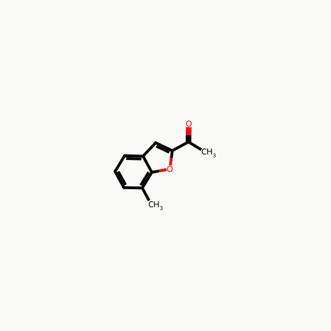 CC(=O)c1cc2cccc(C)c2o1